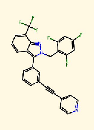 Fc1cc(F)c(Cn2nc3c(C(F)(F)F)cccc3c2-c2cccc(C#Cc3ccncc3)c2)c(F)c1